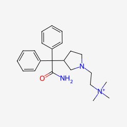 C[N+](C)(C)CCN1CCC(C(C(N)=O)(c2ccccc2)c2ccccc2)C1